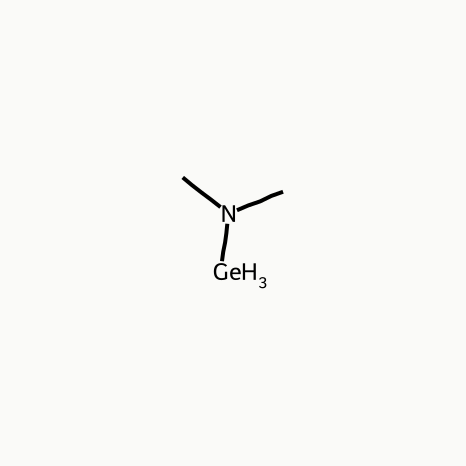 C[N](C)[GeH3]